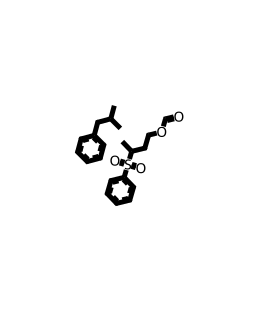 CC(C)Cc1ccccc1.CC(CCOC=O)S(=O)(=O)c1ccccc1